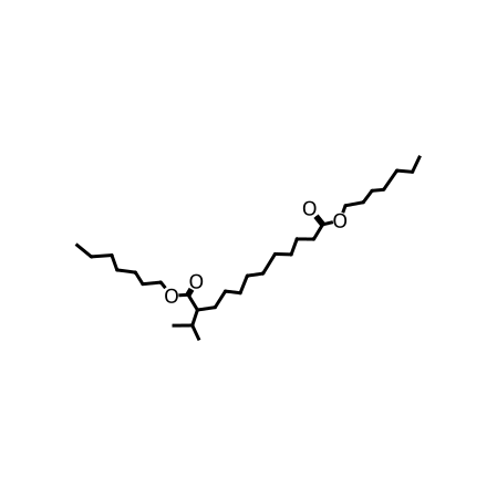 CCCCCCCOC(=O)CCCCCCCCCC(C(=O)OCCCCCCC)C(C)C